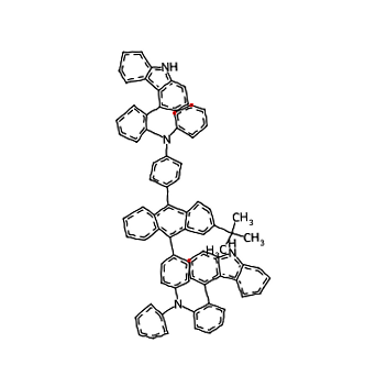 CC(C)(C)c1ccc2c(-c3ccc(N(c4ccccc4)c4ccccc4-c4cccc5[nH]c6ccccc6c45)cc3)c3ccccc3c(-c3ccc(N(c4ccccc4)c4ccccc4-c4cccc5[nH]c6ccccc6c45)cc3)c2c1